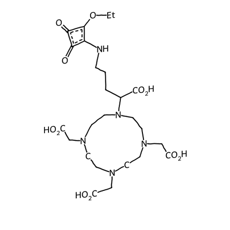 CCOc1c(NCCCC(C(=O)O)N2CCN(CC(=O)O)CCN(CC(=O)O)CCN(CC(=O)O)CC2)c(=O)c1=O